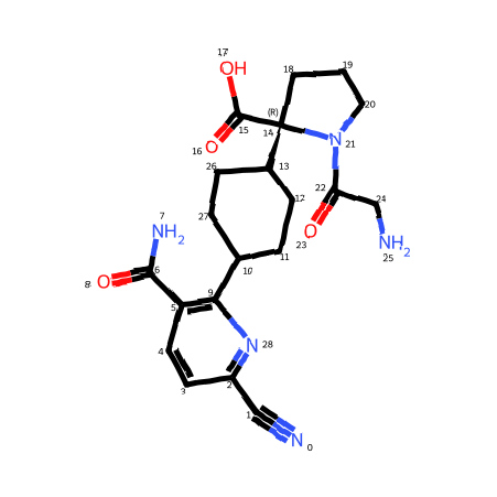 N#Cc1ccc(C(N)=O)c(C2CCC([C@@]3(C(=O)O)CCCN3C(=O)CN)CC2)n1